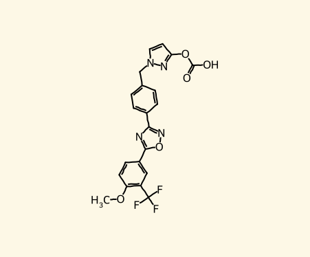 COc1ccc(-c2nc(-c3ccc(Cn4ccc(OC(=O)O)n4)cc3)no2)cc1C(F)(F)F